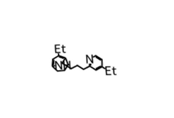 CCC1=C2CCCC(=C1)NC2CCCc1cc(CC)ccn1